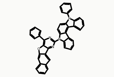 c1ccc(-c2nc(-n3c4ccccc4c4c5c6ccccc6n(-c6ccccc6)c5ccc43)nc3c2oc2cc4ccccc4cc23)cc1